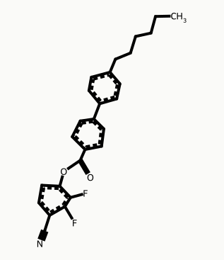 CCCCCCc1ccc(-c2ccc(C(=O)Oc3ccc(C#N)c(F)c3F)cc2)cc1